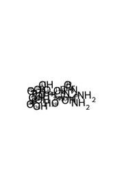 CCC[C@@]1(n2cc(N)c(N)nc2=O)O[C@H](COP(=O)(O)OP(=O)(O)OP(=O)(O)O)[C@@H](O)[C@H]1O